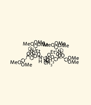 CCC(C(=O)N1CCCC[C@H]1C(=O)O[C@H](CCc1ccc(OC)c(OC)c1)c1cccc(OCC(=O)NCC(CNC(=O)COc2cccc([C@@H](CCc3ccc(OC)c(OC)c3)OC(=O)[C@@H]3CCCCN3C(=O)C(CC)c3cc(OC)c(OC)c(OC)c3)c2)CN(C)C)c1)c1cc(OC)c(OC)c(OC)c1